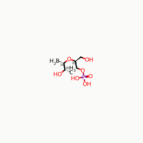 B[C@H](O[C@@H](CO)COP(=O)(O)O)[C@H](C)O